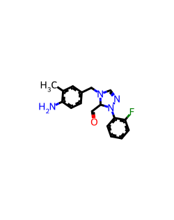 Cc1cc(CN2C=NN(c3ccccc3F)C2C=O)ccc1N